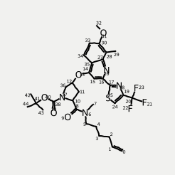 C=CCCCCN(C)C(=O)C1CC(Oc2cc(-c3nc(C(F)(F)F)cs3)nc3c(C)c(OC)ccc23)CN1C(=O)OC(C)(C)C